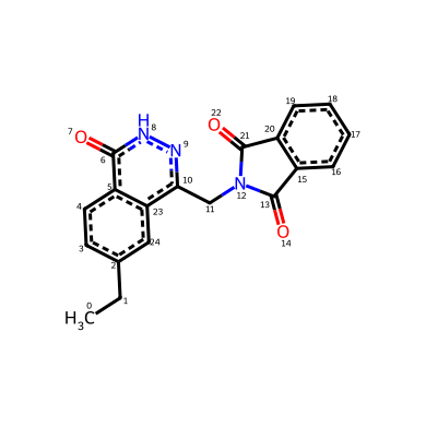 CCc1ccc2c(=O)[nH]nc(CN3C(=O)c4ccccc4C3=O)c2c1